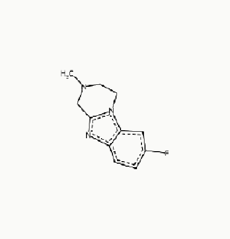 CN1CCn2c(nc3ccc(F)cc32)C1